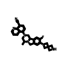 CC1CN(c2ccc(C#N)c3ncccc23)CC2c3cc(F)c(N4CC5(CNC5)C4)cc3CN12